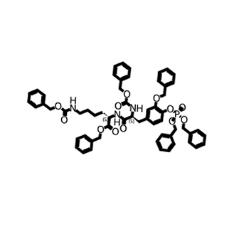 O=C(NCCCC[C@H](NC(=O)[C@H](Cc1ccc(OP(=O)(OCc2ccccc2)OCc2ccccc2)c(OCc2ccccc2)c1)NC(=O)OCc1ccccc1)C(=O)OCc1ccccc1)OCc1ccccc1